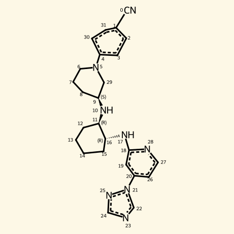 N#Cc1ccc(N2CCC[C@H](N[C@@H]3CCCC[C@H]3Nc3cc(-n4cncn4)ccn3)C2)cc1